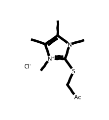 CC(=O)CSc1n(C)c(C)c(C)[n+]1C.[Cl-]